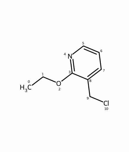 CCOc1ncccc1CCl